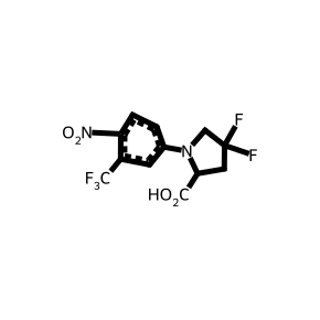 O=C(O)C1CC(F)(F)CN1c1ccc([N+](=O)[O-])c(C(F)(F)F)c1